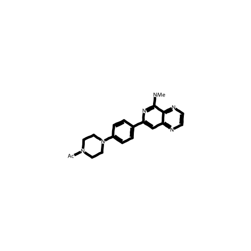 CNc1nc(-c2ccc(N3CCN(C(C)=O)CC3)cc2)cc2nccnc12